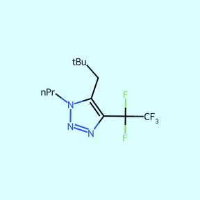 CCCn1nnc(C(F)(F)C(F)(F)F)c1CC(C)(C)C